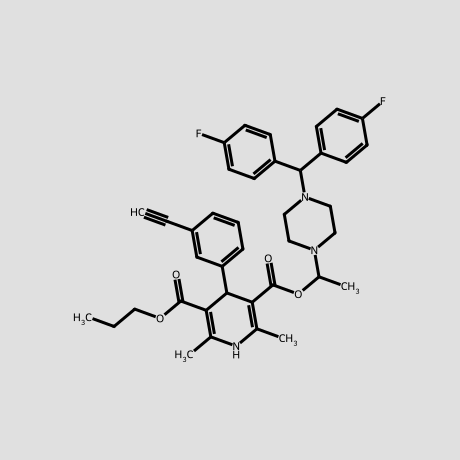 C#Cc1cccc(C2C(C(=O)OCCC)=C(C)NC(C)=C2C(=O)OC(C)N2CCN(C(c3ccc(F)cc3)c3ccc(F)cc3)CC2)c1